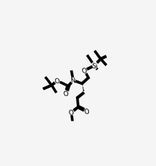 COC(=O)CC[C@@H](CO[Si](C)(C)C(C)(C)C)N(C)C(=O)OC(C)(C)C